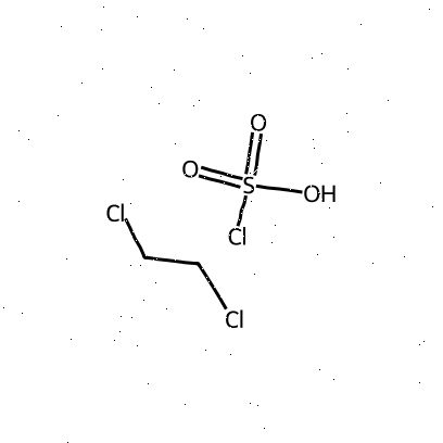 ClCCCl.O=S(=O)(O)Cl